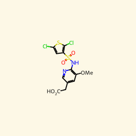 COc1cc(CC(=O)O)cnc1NS(=O)(=O)c1cc(Cl)sc1Cl